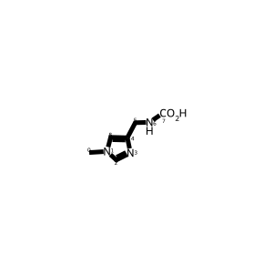 Cn1cnc(CNC(=O)O)c1